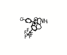 O=S(=O)(c1ccc(Cl)cc1)C12CCNC1CCc1cc(C(F)(F)C(F)(F)F)ccc12